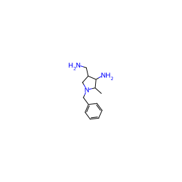 CC1C(N)C(CN)CN1Cc1ccccc1